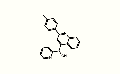 Cc1ccc(-c2cc(C(O)c3ccccn3)c3ccccc3n2)cc1